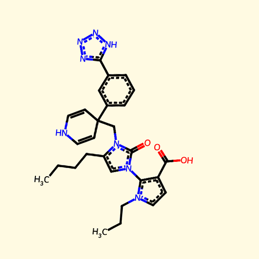 CCCCc1cn(-c2c(C(=O)O)ccn2CCC)c(=O)n1CC1(c2cccc(-c3nnn[nH]3)c2)C=CNC=C1